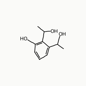 CC(O)c1cccc(O)c1C(C)O